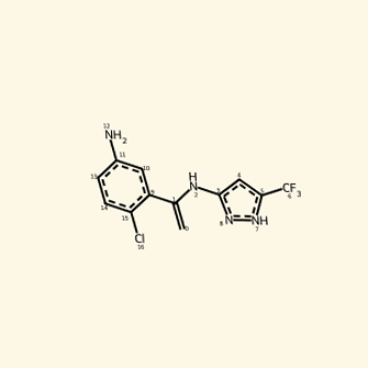 C=C(Nc1cc(C(F)(F)F)[nH]n1)c1cc(N)ccc1Cl